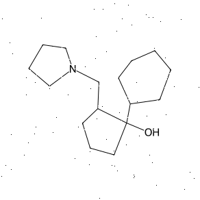 OC1(C2CCCCC2)CCCC1CN1CCCC1